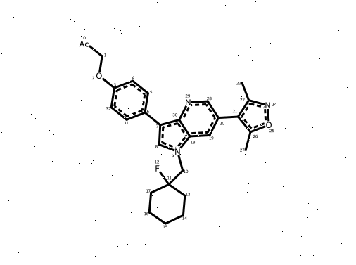 CC(=O)COc1ccc(-c2cn(CC3(F)CCCCC3)c3cc(-c4c(C)noc4C)cnc23)cc1